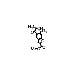 C=C(C)C(=O)c1cc2c(cc1C)OC(C(=O)OC)C2